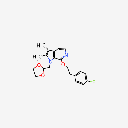 Cc1c(C)n(CC2OCCO2)c2c(OCCc3ccc(F)cc3)nccc12